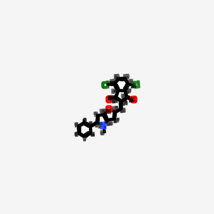 Cn1c(-c2ccccc2)cc2oc(C=C3C(=O)c4c(Cl)ccc(Cl)c4C3=O)cc21